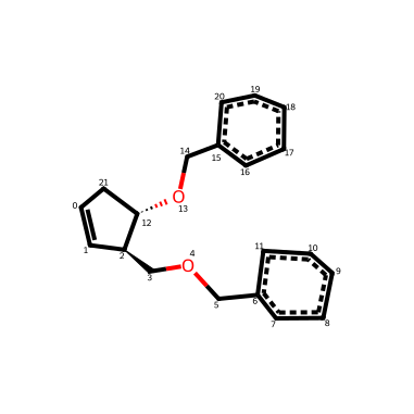 C1=C[C@H](COCc2ccccc2)[C@@H](OCc2ccccc2)C1